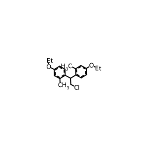 CCOc1ccc(C(CCl)c2ccc(OCC)cc2C)c(C)c1